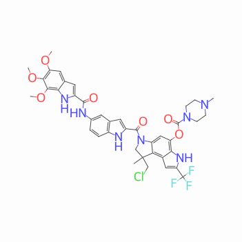 COc1cc2cc(C(=O)Nc3ccc4[nH]c(C(=O)N5CC(C)(CCl)c6c5cc(OC(=O)N5CCN(C)CC5)c5[nH]c(C(F)(F)F)cc65)cc4c3)[nH]c2c(OC)c1OC